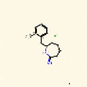 Cl.N=C1CCCCC(Cc2ccccc2[N+](=O)[O-])N1